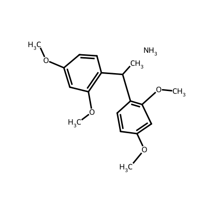 COc1ccc(C(C)c2ccc(OC)cc2OC)c(OC)c1.N